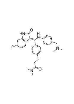 CN(C)Cc1ccc(N/C(=C2\C(=O)Nc3cc(F)ccc32)c2ccc(CCC(=O)N(C)C)cc2)cc1